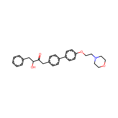 O=C(Cc1ccc(-c2ccc(OCCN3CCOCC3)cc2)cc1)C(O)Cc1ccccc1